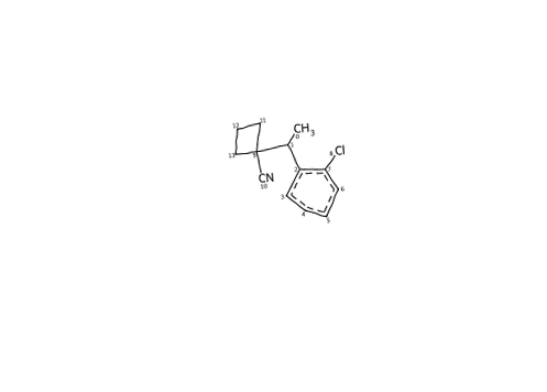 CC(c1ccccc1Cl)C1(C#N)CCC1